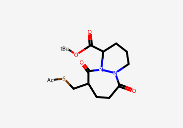 CC(=O)SCC1CCC(=O)N2CCCC(C(=O)OC(C)(C)C)N2C1=O